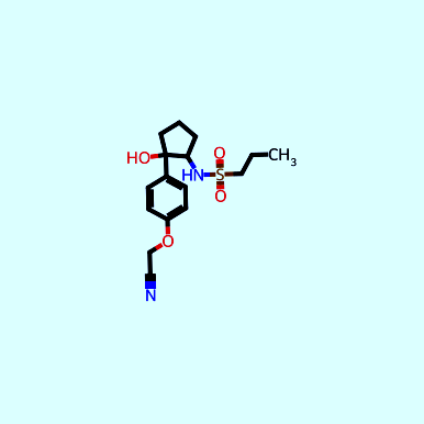 CCCS(=O)(=O)NC1CCCC1(O)c1ccc(OCC#N)cc1